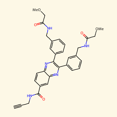 C#CCNC(=O)c1ccc2nc(-c3cccc(CNC(=O)COC)c3)c(-c3cccc(CNC(=O)COC)c3)nc2c1